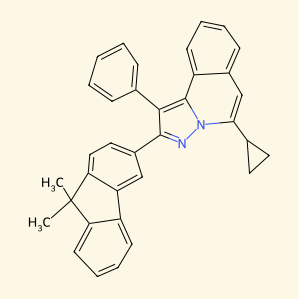 CC1(C)c2ccccc2-c2cc(-c3nn4c(C5CC5)cc5ccccc5c4c3-c3ccccc3)ccc21